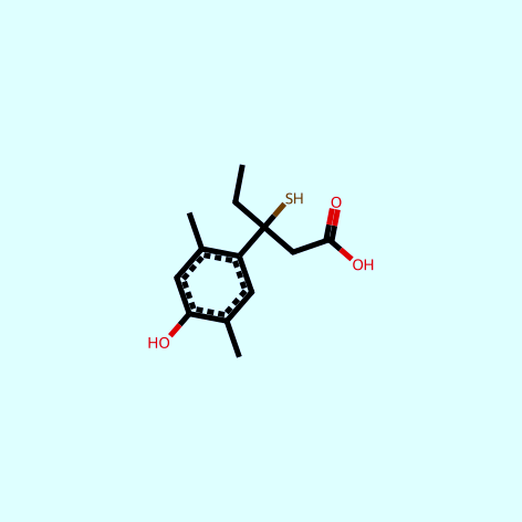 CCC(S)(CC(=O)O)c1cc(C)c(O)cc1C